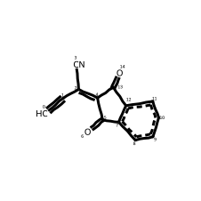 C#CC(C#N)=C1C(=O)c2ccccc2C1=O